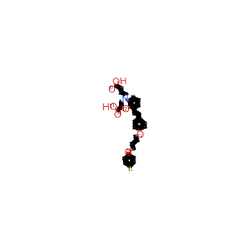 O=C(O)CCCN1CC(C(=O)O)Oc2c(C=Cc3ccc(OCCCCOc4ccc(F)cc4)cc3)cccc21